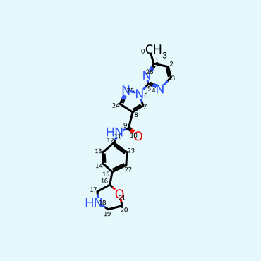 Cc1ccnc(-n2cc(C(=O)Nc3ccc(C4CNCCO4)cc3)cn2)n1